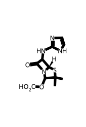 CC1(C)S[C@H]2C(Nc3ncc[nH]3)C(=O)N2C1OC(=O)O